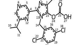 Cc1nc(-c2cncc(C(C)C)n2)n(Cc2cc(Cl)ccc2Cl)c1OC(=O)O